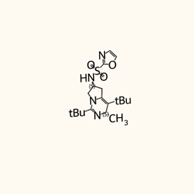 C[C@@H]1N=C(C(C)(C)C)N2C[C@@H](NS(=O)(=O)c3ncco3)CC2=C1C(C)(C)C